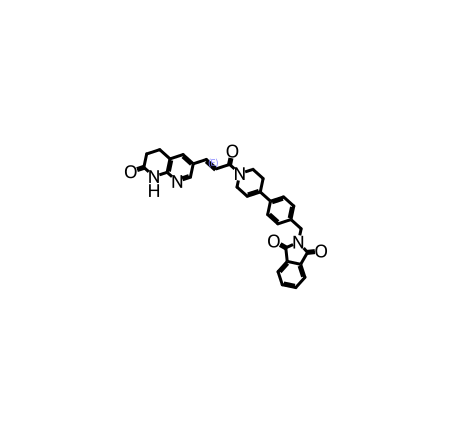 O=C1CCc2cc(/C=C/C(=O)N3CC=C(c4ccc(CN5C(=O)c6ccccc6C5=O)cc4)CC3)cnc2N1